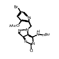 CCCCNc1nc(Cl)nc2cnn(Cc3ncc(Br)cc3OC)c12